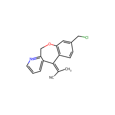 CC(C#N)=C1c2ccc(CCl)cc2OCc2ncccc21